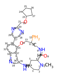 CN1CC[C@H]2C[C@H]1C(=O)NCC(P)COc1c(-c3cnc(COC4CCCC4)nc3)ccc3ncc(cc13)N2